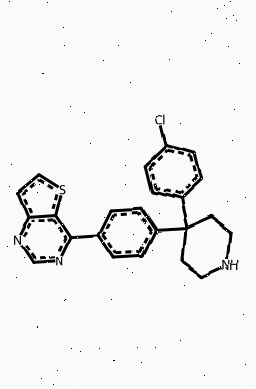 Clc1ccc(C2(c3ccc(-c4ncnc5ccsc45)cc3)CCNCC2)cc1